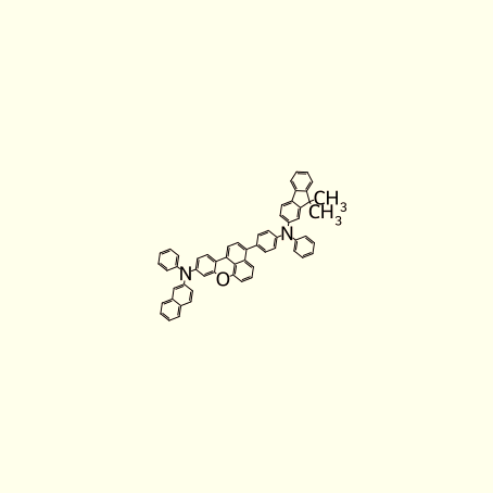 CC1(C)c2ccccc2-c2ccc(N(c3ccccc3)c3ccc(-c4ccc5c6c(cccc46)Oc4cc(N(c6ccccc6)c6ccc7ccccc7c6)ccc4-5)cc3)cc21